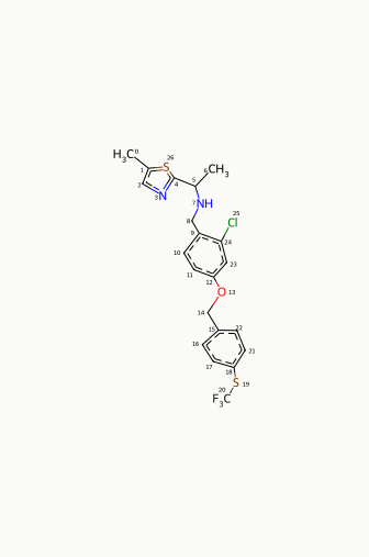 Cc1cnc(C(C)NCc2ccc(OCc3ccc(SC(F)(F)F)cc3)cc2Cl)s1